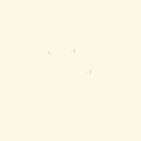 Oc1ccccc1C1=NCCN1